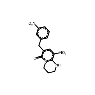 O=c1c(Cc2cccc([N+](=O)[O-])c2)cc([N+](=O)[O-])c2n1CCCN2